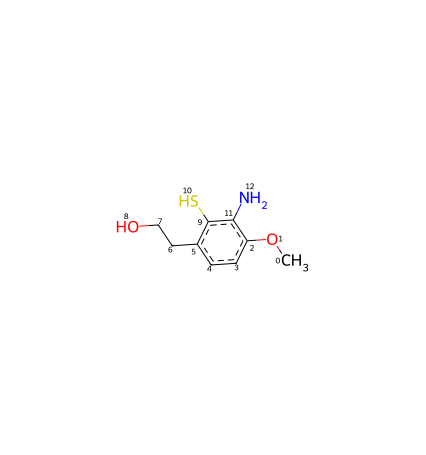 COc1ccc(CCO)c(S)c1N